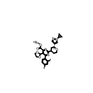 CCCCOC(=O)c1nc(C2CCO[C@@H](c3cnn(C4CC4)c3)C2)nc(-c2ccc(F)cc2F)c1C1OCCO1